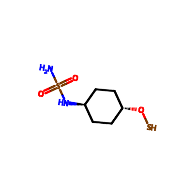 NS(=O)(=O)N[C@H]1CC[C@H](OS)CC1